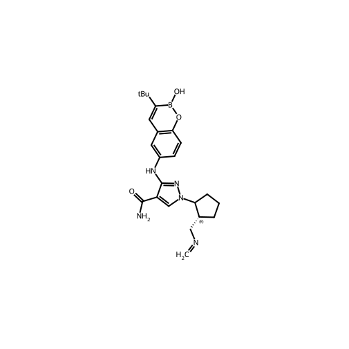 C=NC[C@H]1CCCC1n1cc(C(N)=O)c(Nc2ccc3c(c2)C=C(C(C)(C)C)B(O)O3)n1